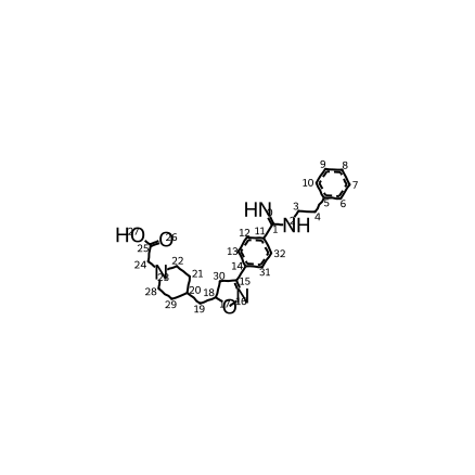 N=C(NCCc1ccccc1)c1ccc(C2=NOC(CC3CCN(CC(=O)O)CC3)C2)cc1